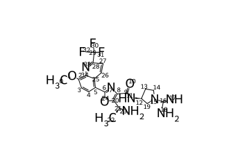 COc1ccc(-c2nc(C(=O)N[C@H]3CCN(C(=N)N)C3)c([C@H](C)N)o2)c2ccc(C(F)(F)F)nc12